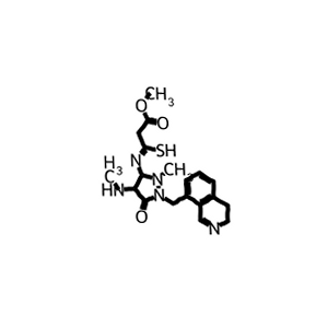 CNC1C(=O)N(Cc2cccc3c2C=NCC3)N(C)C1N=C(S)CC(=O)OC